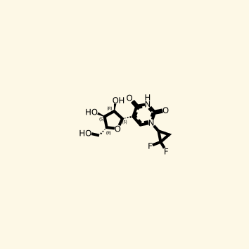 O=c1[nH]c(=O)n(C2CC2(F)F)cc1[C@@H]1O[C@H](CO)[C@@H](O)[C@H]1O